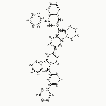 C1=CC2N=C(n3c4c(c5cc(C6=CCC7C(=C6)c6ccccc6N7C6=CC(c7ccccc7)=CCC6)ccc53)CCCC4)N=C(c3ccccc3)C2C=C1